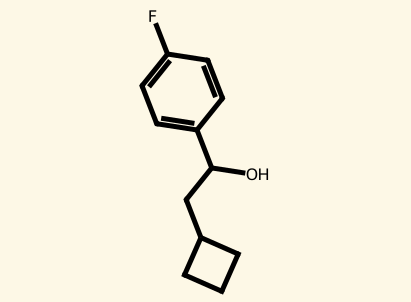 OC(CC1CCC1)c1ccc(F)cc1